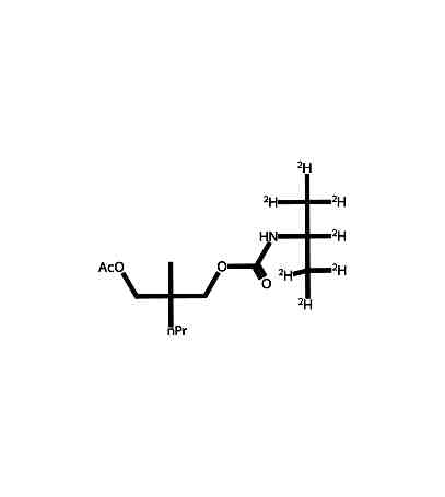 [2H]C([2H])([2H])C([2H])(NC(=O)OCC(C)(CCC)COC(C)=O)C([2H])([2H])[2H]